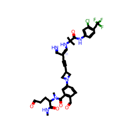 CNC(=O)C(CCC=O)N(C)C(=O)c1cc(N2CC(C#C/C(C=N)=C/NC(C)(C)C(=O)Nc3ccc(C(F)(F)F)c(Cl)c3)C2)ccc1C=O